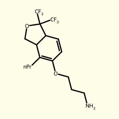 CCCC1=C(OCCCN)C=CC2C1COC2(C(F)(F)F)C(F)(F)F